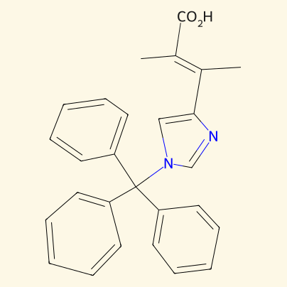 CC(C(=O)O)=C(C)c1cn(C(c2ccccc2)(c2ccccc2)c2ccccc2)cn1